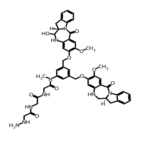 COc1cc2c(cc1OCc1cc(COc3cc4c(cc3OC)C(=O)N3c5ccccc5C[C@H]3C(O)N4)cc(N(C)C(=O)CNC(=O)CNC(=O)CNN)c1)NC[C@@H]1Cc3ccccc3N1C2=O